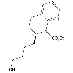 CCOC(=O)N1c2ncccc2CC[C@@H]1CCCCO